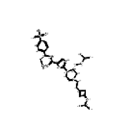 CCS(=O)(=O)c1ccc([C@H](CC#N)NC(=O)c2cnc(N3CCN(CCC4CC(OC(F)F)C4)C[C@H]3COC(F)F)s2)cc1